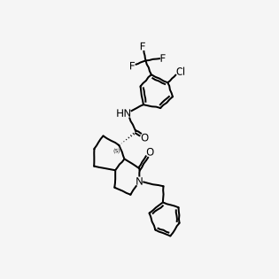 O=C(Nc1ccc(Cl)c(C(F)(F)F)c1)[C@H]1CCCC2CCN(Cc3ccccc3)C(=O)C21